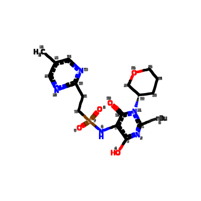 CCCCc1nc(O)c(NS(=O)(=O)CCc2ncc(C)cn2)c(=O)n1[C@H]1CCCOC1